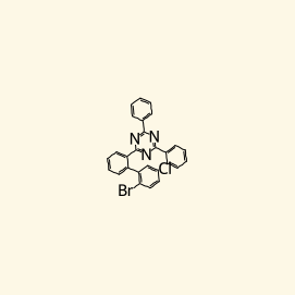 Clc1ccc(Br)c(-c2ccccc2-c2nc(-c3ccccc3)nc(-c3ccccc3)n2)c1